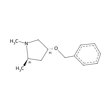 C[C@@H]1C[C@@H](OCc2ccccc2)CN1C